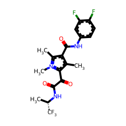 Cc1c(C(=O)Nc2ccc(F)c(F)c2)c(C)n(C)c1C(=O)C(=O)N[C@@H](C)C(F)(F)F